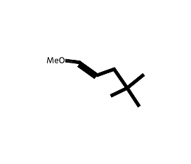 COC=CCC(C)(C)C